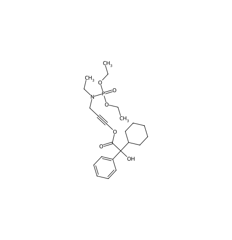 CCOP(=O)(OCC)N(CC)CC#COC(=O)C(O)(c1ccccc1)C1CCCCC1